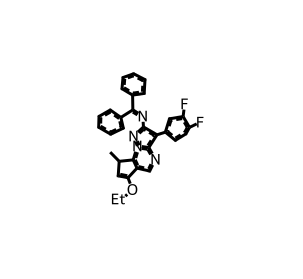 CCOC1=CC(C)c2c1cnc1c(-c3ccc(F)c(F)c3)c(N=C(c3ccccc3)c3ccccc3)nn21